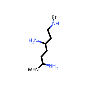 CCNCCC(N)CCC(N)NC